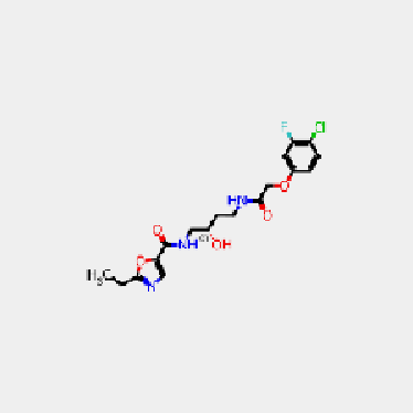 CCc1ncc(C(=O)NC[C@@H](O)CCNC(=O)COc2ccc(Cl)c(F)c2)o1